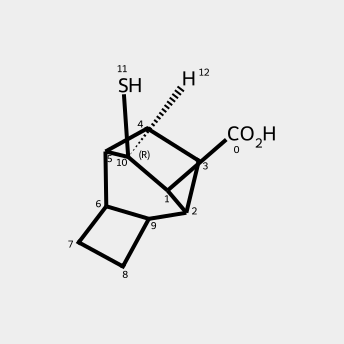 O=C(O)C1C2CCC(C3CCC32)[C@H]1S